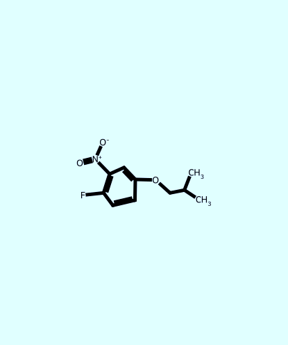 CC(C)COc1ccc(F)c([N+](=O)[O-])c1